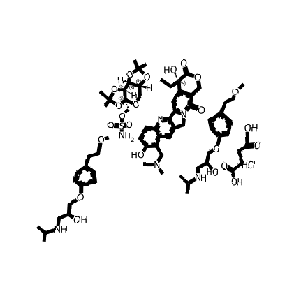 CC1(C)O[C@@H]2[C@@H](CO[C@@]3(COS(N)(=O)=O)OC(C)(C)O[C@@H]23)O1.CC[C@@]1(O)C(=O)OCc2c1cc1n(c2=O)Cc2cc3c(CN(C)C)c(O)ccc3nc2-1.COCCc1ccc(OCC(O)CNC(C)C)cc1.COCCc1ccc(OCC(O)CNC(C)C)cc1.Cl.O=C(O)CCC(=O)O